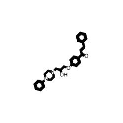 O=C(C=Cc1ccccc1)c1ccc(OCC(O)CN2CCN(c3ccccc3)CC2)cc1